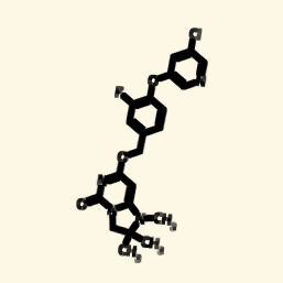 CN1c2cc(OCc3ccc(Oc4cncc(Cl)c4)c(F)c3)nc(=O)n2CC1(C)C